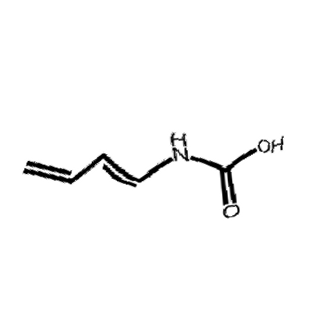 C=C/C=C/NC(=O)O